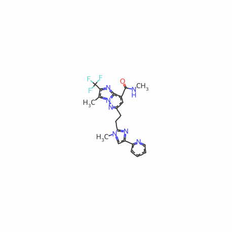 CNC(=O)c1cc(CCc2nc(-c3ccccn3)cn2C)nn2c(C)c(C(F)(F)F)nc12